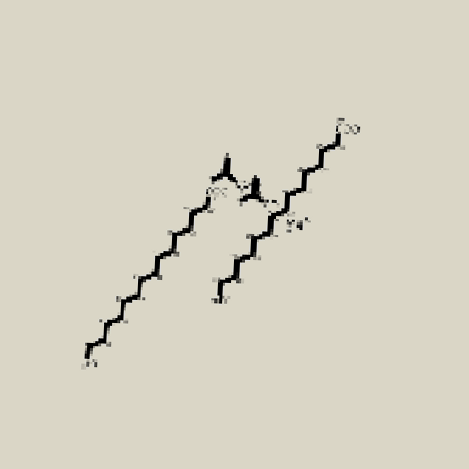 C=C(C)C(=O)O.C=C(C)C(=O)O.CC(C)CCCCCCCCCCCCCCC(=O)[O-].CC(C)CCCCCCCCCCCCCCC(=O)[O-].[Mg+2]